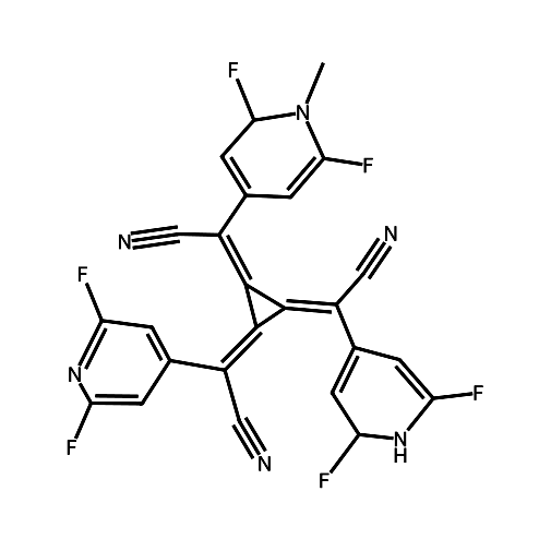 CN1C(F)=CC(/C(C#N)=C2\C(=C(C#N)C3=CC(F)NC(F)=C3)\C2=C(/C#N)c2cc(F)nc(F)c2)=CC1F